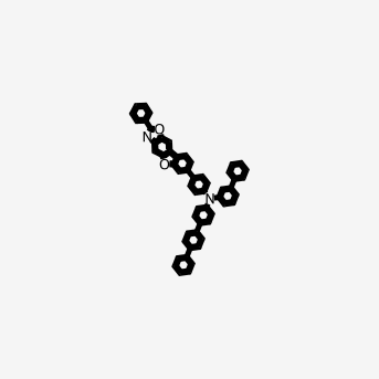 c1ccc(-c2ccc(-c3ccc(N(c4ccc(-c5ccc6c(c5)oc5cc7nc(-c8ccccc8)oc7cc56)cc4)c4cccc(-c5ccccc5)c4)cc3)cc2)cc1